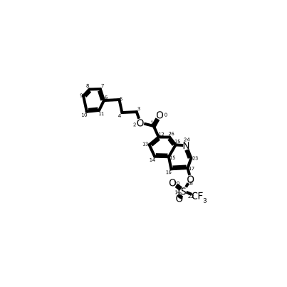 O=C(OCCCc1ccccc1)c1ccc2cc(OS(=O)(=O)C(F)(F)F)cnc2c1